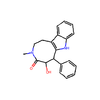 CN1CCc2c([nH]c3ccccc23)C(c2ccccc2)C(O)C1=O